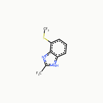 FC(F)(F)Sc1cccc2[nH]c(C(F)(F)F)nc12